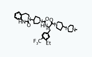 CCc1cc(C[C@@H](NC(=O)N2CCC(N3CCc4ccccc4NC3=O)CC2)C(=O)N2CCC(N3CCN(C)CC3)CC2)ccc1C(F)(F)F